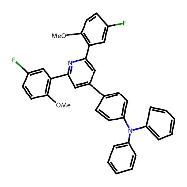 COc1ccc(F)cc1-c1cc(-c2ccc(N(c3ccccc3)c3ccccc3)cc2)cc(-c2cc(F)ccc2OC)n1